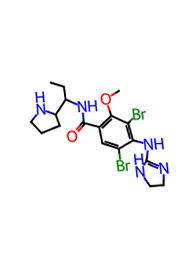 CCC(NC(=O)c1cc(Br)c(NC2=NCCN2)c(Br)c1OC)C1CCCN1